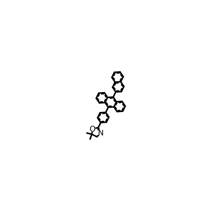 CC1(C)CN=C(c2ccc(-c3c4ccccc4c(-c4ccc5ccccc5c4)c4ccccc34)cc2)O1